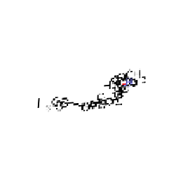 CCC(=O)OCCCCCCOc1ccc(C(=O)OC2CCC(C(=O)OSC(=O)O/C(CC)=c3\cccc\c3=C(/C)C(=O)OC3CCCCC3)CC2)cc1